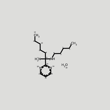 CCCCCNC(N)(CCCCC)c1ncccn1.O